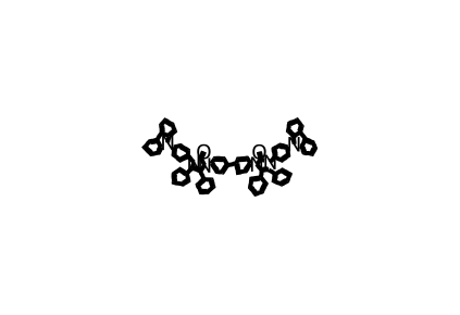 O=c1n(-c2ccc(-c3ccc(-n4c(-c5ccccc5)c(-c5ccccc5)n(-c5ccc(-n6c7ccccc7c7ccccc76)cc5)c4=O)cc3)cc2)c(-c2ccccc2)c(-c2ccccc2)n1-c1ccc(-n2c3ccccc3c3ccccc32)cc1